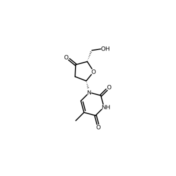 Cc1cn([C@@H]2CC(=O)[C@H](CO)O2)c(=O)[nH]c1=O